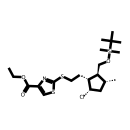 CCOC(=O)c1csc(SCC[C@@H]2[C@@H](CO[Si](C)(C)C(C)(C)C)[C@H](C)C[C@@H]2Cl)n1